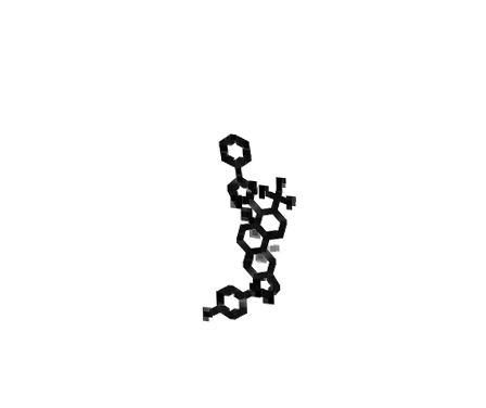 C[C@]12Cc3cnn(-c4ccc(F)cc4)c3C=C1CC[C@H]1C2=CCC(C(F)(F)F)C1c1ncc(-c2ccccc2)s1